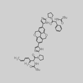 C=C(/C=C\C=C/C)[C@@H](NC(=O)C(C)(C)C)C(=O)N1CCC[C@H]1c1ncc(-c2cc3c4c(c2)OCc2cc(-c5cnc([C@@H]6CCCN6C(=O)[C@H](NC(=O)C(C)(C)C)c6ccccc6)[nH]5)cc(c2-4)OC3)[nH]1